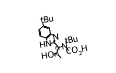 C[C@@H](O)[C@@H](c1nc2cc(C(C)(C)C)ccc2[nH]1)N(C(=O)O)C(C)(C)C